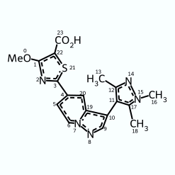 COc1nc(-c2ccn3ncc(-c4c(C)nn(C)c4C)c3c2)sc1C(=O)O